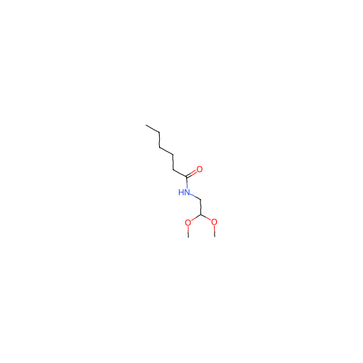 CCCCCC(=O)NCC(OC)OC